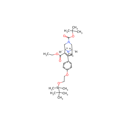 CCOC(=O)C1=C(c2ccc(OCCO[Si](C)(C)C(C)(C)C)cc2)C[C@@H]2CN(C(=O)OC(C)(C)C)C[C@H]1N2C